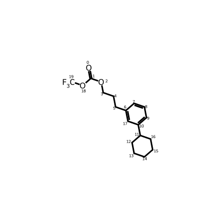 O=C(OCCCc1cccc(C2CCCCC2)c1)OC(F)(F)F